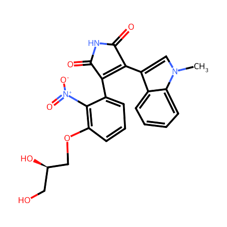 Cn1cc(C2=C(c3cccc(OC[C@H](O)CO)c3[N+](=O)[O-])C(=O)NC2=O)c2ccccc21